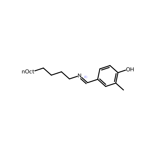 CCCCCCCCCCCC/N=C/c1ccc(O)c(C)c1